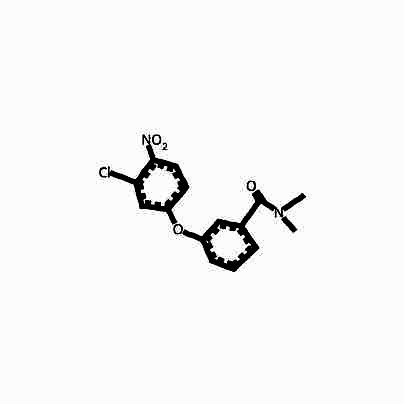 CN(C)C(=O)c1cccc(Oc2ccc([N+](=O)[O-])c(Cl)c2)c1